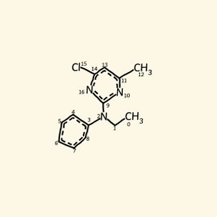 CCN(c1ccccc1)c1nc(C)cc(Cl)n1